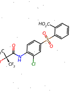 C[C@@](O)(C(=O)Nc1ccc(S(=O)(=O)c2ccccc2C(=O)O)cc1Cl)C(F)(F)F